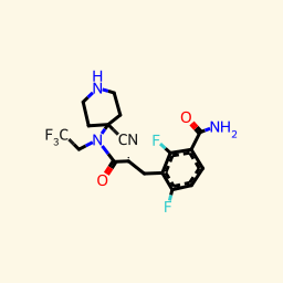 N#CC1(N(CC(F)(F)F)C(=O)[CH]Cc2c(F)ccc(C(N)=O)c2F)CCNCC1